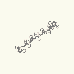 O=C(CCC(=O)NCC(=O)NCCC(=O)ON1C(=O)CCC1=O)CNC(=O)CCCN1C(=O)C=CC1=O